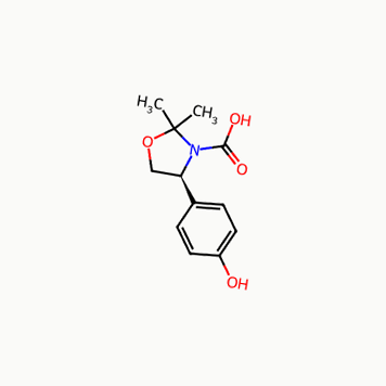 CC1(C)OC[C@H](c2ccc(O)cc2)N1C(=O)O